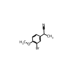 COc1ccc(C(C)C#N)cc1Br